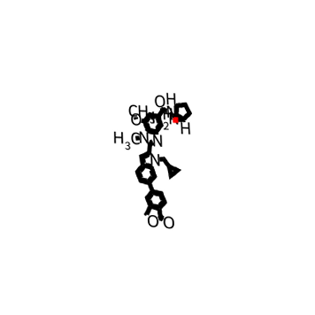 COc1cc(C(=O)N2C[C@H]3CC[C@@H]2[C@@H]3N)cc2nc(-c3cc4ccc(-c5ccc6c(c5)COC6=O)cc4n3CC3CC3)n(C)c12